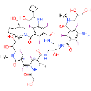 C\C(C(=O)NCC(O)(CNC(=O)c1c(I)c(N)c(I)c(C(=O)N(C)CC(O)CO)c1I)CNC(=O)c1c(I)c(NC(CO)=C2CCC2)c(I)c(C(=O)N(C)CC(CO)C2CCC2)c1I)=C(I)/C(NC(=O)CO)=C(I)\C(=C\I)C(=O)N(C)CC(O)CO